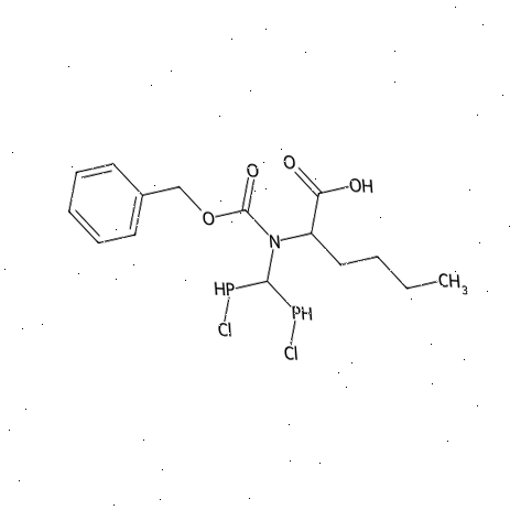 CCCCC(C(=O)O)N(C(=O)OCc1ccccc1)C(PCl)PCl